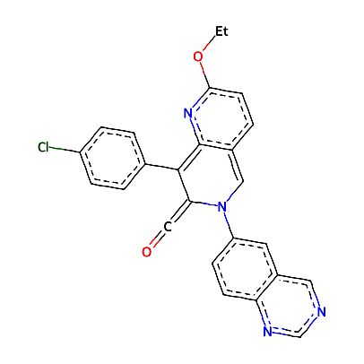 CCOc1ccc2c(n1)=C(c1ccc(Cl)cc1)C(=C=O)N(c1ccc3ncncc3c1)C=2